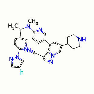 C[C@@H](c1ccc(-n2cc(F)cn2)nc1)N(C)c1ccc(-c2cc(C3CCNCC3)cn3ncc(C#N)c23)cn1